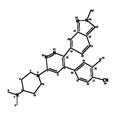 CN(C)C1CCN(c2cc(-c3ccc(C#N)c(F)c3)c(-c3ccc4cn(C)nc4c3)nn2)CC1